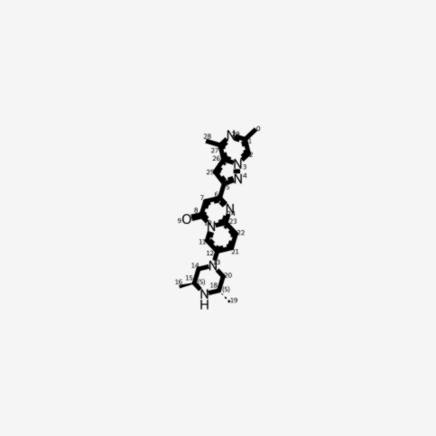 Cc1cn2nc(-c3cc(=O)n4cc(N5C[C@H](C)N[C@@H](C)C5)ccc4n3)cc2c(C)n1